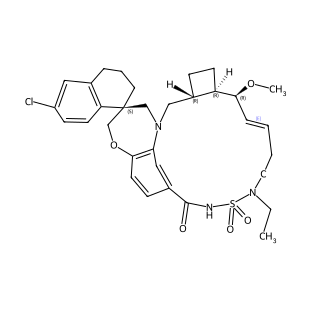 CCN1CC/C=C/[C@H](OC)[C@@H]2CC[C@H]2CN2C[C@@]3(CCCc4cc(Cl)ccc43)COc3ccc(cc32)C(=O)NS1(=O)=O